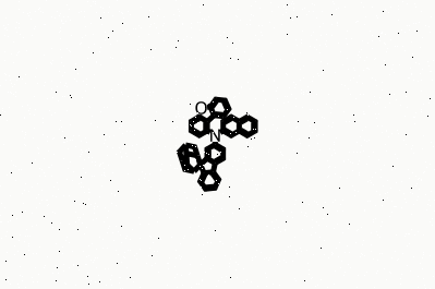 c1ccc2c(c1)-c1ccc(N(c3ccc4ccccc4c3)c3cccc4oc5ccccc5c34)cc1C21C2CC3CC(C2)CC1C3